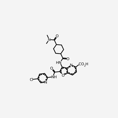 CN(C)C(=O)C1CCC(C(=O)Nc2c(C(=O)Nc3ccc(Cl)cn3)oc3ccc(C(=O)O)nc23)CC1